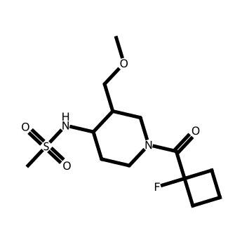 COCC1CN(C(=O)C2(F)CCC2)CCC1NS(C)(=O)=O